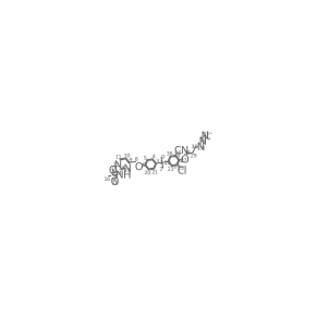 CC(C)(c1ccc(OCc2ccnc(NS(C)(=O)=O)n2)cc1)c1cc(Cl)c(OCCCN=[N+]=[N-])c(C#N)c1